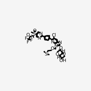 C[Si](C)(C)CCOCn1c(O[C@@H]2CO[C@H]3[C@@H]2OC[C@H]3O)nc2cc(Cl)c(-c3ccc(-c4ncc(S(C)(=O)=NC(=O)C(F)(F)F)cn4)cc3)nc21